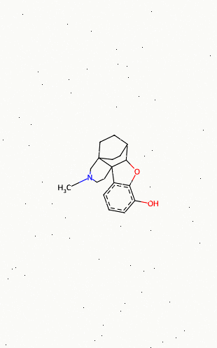 CN1CCC23c4cccc(O)c4OC2C2CCC3(CC2)C1